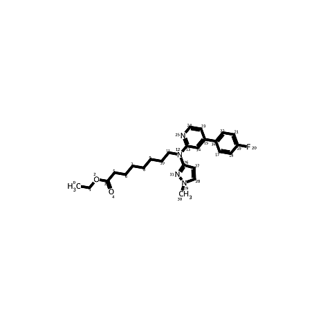 CCOC(=O)CCCCCCCN(c1cc(-c2ccc(F)cc2)ccn1)c1ccn(C)n1